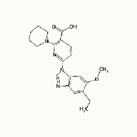 CCc1cc2ncn(-c3ccc(C(=O)O)c(N4CCCCC4)n3)c2cc1OC